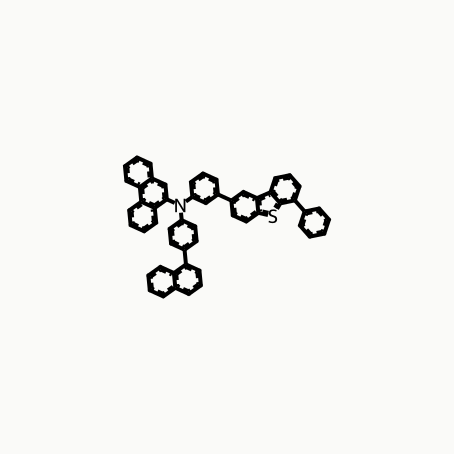 c1ccc(-c2cccc3c2sc2ccc(-c4cccc(N(c5ccc(-c6cccc7ccccc67)cc5)c5cc6ccccc6c6ccccc56)c4)cc23)cc1